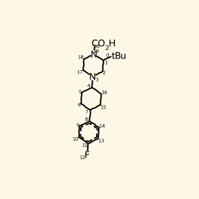 CC(C)(C)C1CN(C2CCC(c3ccc(F)cc3)CC2)CCN1C(=O)O